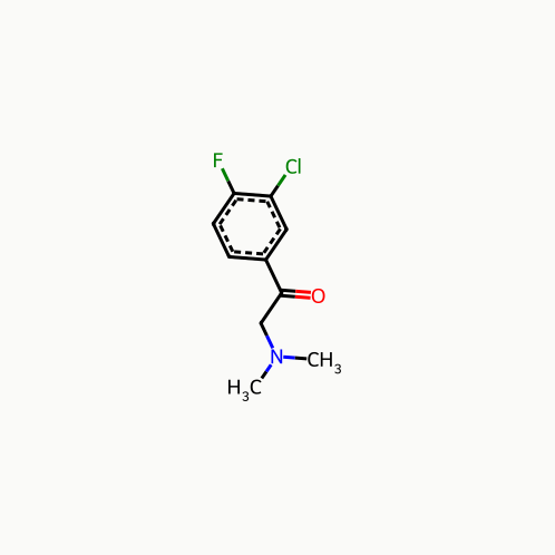 CN(C)CC(=O)c1ccc(F)c(Cl)c1